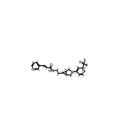 O=C(/C=C/c1cccnc1)NCCC1C2CN(c3ccnc(C(F)(F)F)c3)CC12